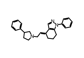 C(/CN1CCC(c2ccccc2)C1)=C1/CCCc2c1cnn2-c1ccccc1